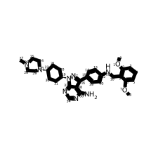 COc1cccc(OC)c1CNc1ccc(-c2nn([C@H]3CC[C@@H](N4CCN(C)CC4)CC3)c3ncnc(N)c23)cc1